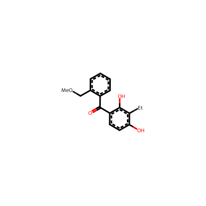 CCc1c(O)ccc(C(=O)c2ccccc2COC)c1O